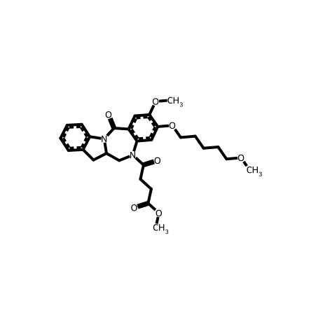 COCCCCCOc1cc2c(cc1OC)C(=O)N1c3ccccc3CC1CN2C(=O)CCC(=O)OC